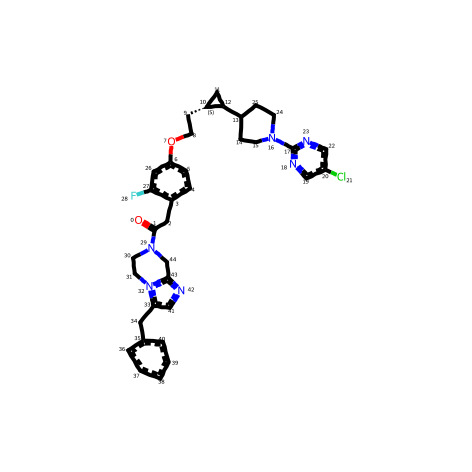 O=C(Cc1ccc(OCC[C@@H]2CC2C2CCN(c3ncc(Cl)cn3)CC2)cc1F)N1CCn2c(Cc3ccccc3)cnc2C1